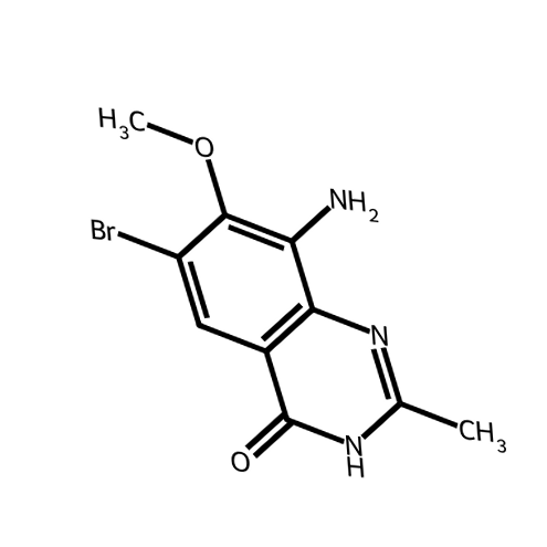 COc1c(Br)cc2c(=O)[nH]c(C)nc2c1N